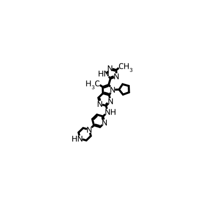 Cc1n[nH]c(-c2c(C)c3cnc(Nc4ccc(N5CCNCC5)cn4)nc3n2C2CCCC2)n1